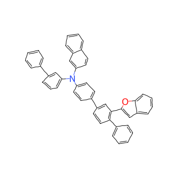 c1ccc(-c2cccc(N(c3ccc(-c4ccc(-c5ccccc5)c(-c5cc6ccccc6o5)c4)cc3)c3ccc4ccccc4c3)c2)cc1